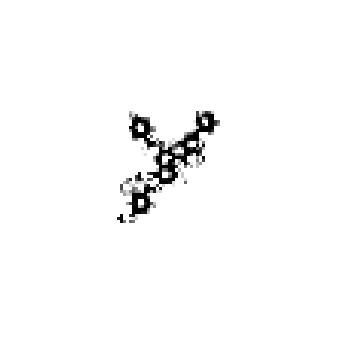 COC(OC1CCC2(C)C(CC(OC(=O)c3ccc(F)cc3)C3(C)Oc4cc(-c5cccnc5)oc(=O)c4C(O)C23)C1C)c1ccc(C)cc1C